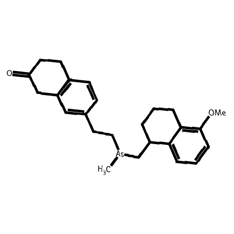 COc1cccc2c1CCCC2C[As](C)CCc1ccc2c(c1)CC(=O)CC2